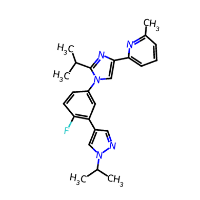 Cc1cccc(-c2cn(-c3ccc(F)c(-c4cnn(C(C)C)c4)c3)c(C(C)C)n2)n1